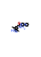 CCc1cc(CC(N)C(=O)N2CCC(N3CCCCC3)CC2)cc2c(C)n[nH]c12